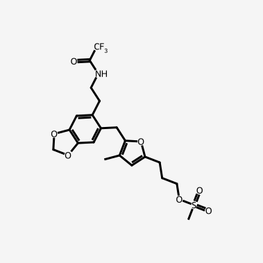 Cc1cc(CCCOS(C)(=O)=O)oc1Cc1cc2c(cc1CCNC(=O)C(F)(F)F)OCO2